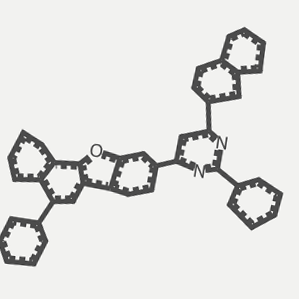 c1ccc(-c2nc(-c3ccc4ccccc4c3)cc(-c3ccc4c(c3)oc3c5ccccc5c(-c5ccccc5)cc43)n2)cc1